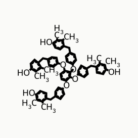 Cc1c(O)ccc(Cc2ccc(Oc3ccc(Oc4ccc(Cc5ccc(O)c(C)c5C)cc4)c(Oc4ccc(Cc5ccc(O)c(C)c5C)cc4)c3Oc3ccc(Cc4ccc(O)c(C)c4C)cc3)cc2)c1C